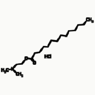 CCCCCCCCCCCCCC(=O)OCCN(C)C.Cl